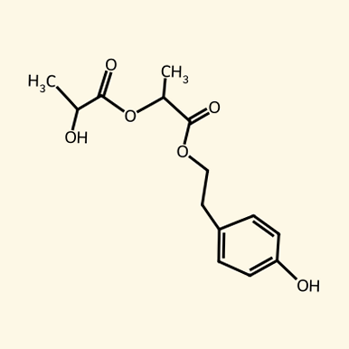 CC(O)C(=O)OC(C)C(=O)OCCc1ccc(O)cc1